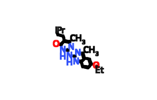 CCOc1ccc2nc(Nc3nc(C)c(CCC(C)C)c(=O)[nH]3)nc(C)c2c1